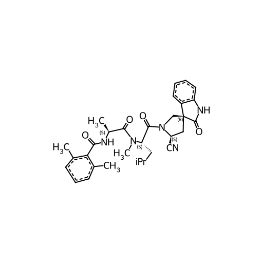 Cc1cccc(C)c1C(=O)N[C@@H](C)C(=O)N(C)[C@@H](CC(C)C)C(=O)N1C[C@]2(C[C@H]1C#N)C(=O)Nc1ccccc12